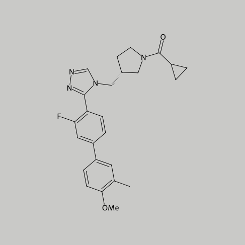 COc1ccc(-c2ccc(-c3nncn3C[C@@H]3CCN(C(=O)C4CC4)C3)c(F)c2)cc1C